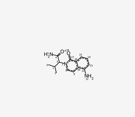 CC(C)C(C(N)=O)n1ccc2c(N)cccc2c1=O